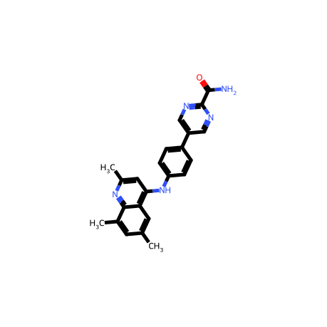 Cc1cc(C)c2nc(C)cc(Nc3ccc(-c4cnc(C(N)=O)nc4)cc3)c2c1